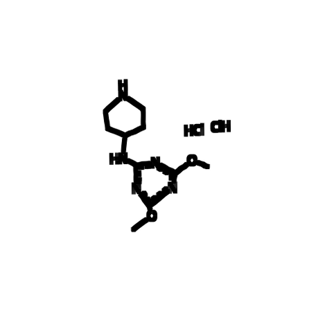 COc1nc(NC2CCNCC2)nc(OC)n1.Cl.Cl